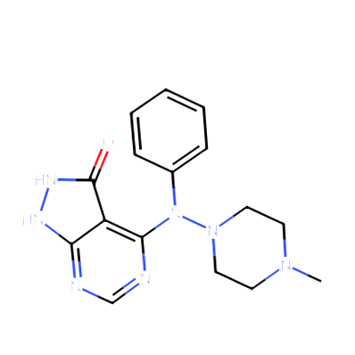 CN1CCN(N(c2ccccc2)c2ncnc3[nH][nH]c(=O)c23)CC1